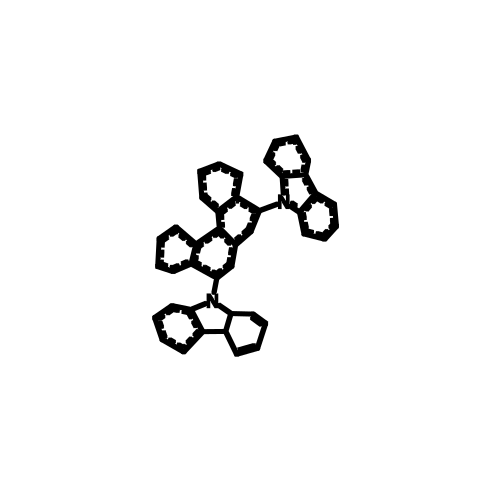 C1=CC2c3ccccc3N(c3cc4cc(-n5c6ccccc6c6ccccc65)c5ccccc5c4c4ccccc34)C2C=C1